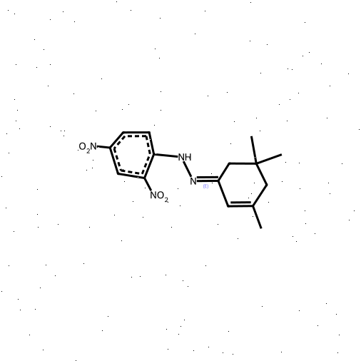 CC1=C/C(=N/Nc2ccc([N+](=O)[O-])cc2[N+](=O)[O-])CC(C)(C)C1